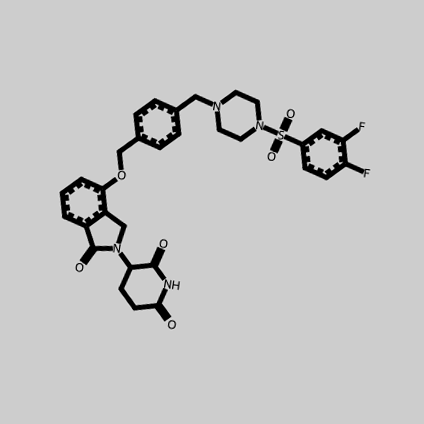 O=C1CCC(N2Cc3c(OCc4ccc(CN5CCN(S(=O)(=O)c6ccc(F)c(F)c6)CC5)cc4)cccc3C2=O)C(=O)N1